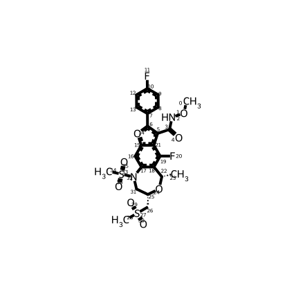 CONC(=O)c1c(-c2ccc(F)cc2)oc2cc3c(c(F)c12)[C@H](C)O[C@H](CS(C)(=O)=O)CN3S(C)(=O)=O